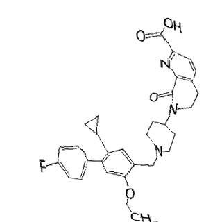 CCOc1cc(-c2ccc(F)cc2)c(C2CC2)cc1CN1CCC(N2CCc3ccc(C(=O)O)nc3C2=O)CC1